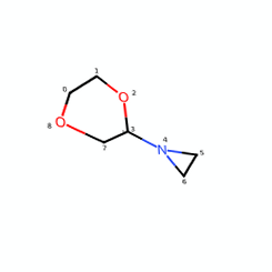 C1CO[C](N2CC2)CO1